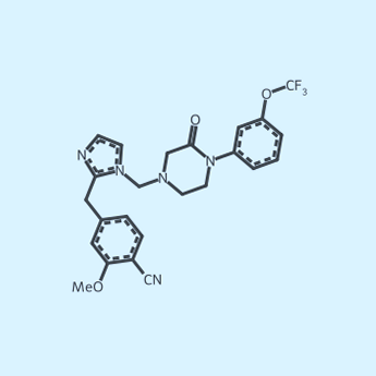 COc1cc(Cc2nccn2CN2CCN(c3cccc(OC(F)(F)F)c3)C(=O)C2)ccc1C#N